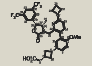 COc1ccc([C@H]2C[C@@H](CC(=O)O)C2)cc1-c1ccc(N2CCC2)nc1CN1C(=O)O[C@H](c2cc(C(F)(F)F)cc(C(F)(F)F)c2)[C@@H]1C